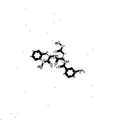 CC(C)(C)OC(=O)C[C@H](NC(=O)c1cccc(N)c1)C(=O)N[C@@H](Cc1ccccc1)C(=O)OC(C)(C)C